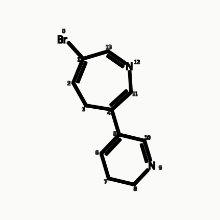 BrC1=CCC(C2=CCCN=C2)=CN=C1